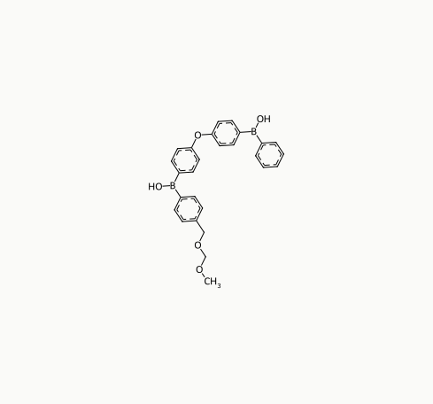 COCOCc1ccc(B(O)c2ccc(Oc3ccc(B(O)c4ccccc4)cc3)cc2)cc1